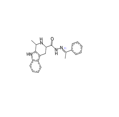 C/C(=N\NC(=O)C1Cc2c([nH]c3ccccc23)C(C)N1)c1ccccc1